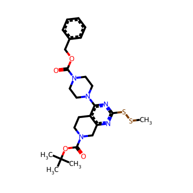 CSSc1nc2c(c(N3CCN(C(=O)OCc4ccccc4)CC3)n1)CCN(C(=O)OC(C)(C)C)C2